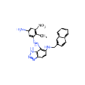 Cc1c(/N=N/c2c(NCc3ccc4ccccc4c3)ccc3nn[nH]c23)cc(N)cc1[N+](=O)[O-]